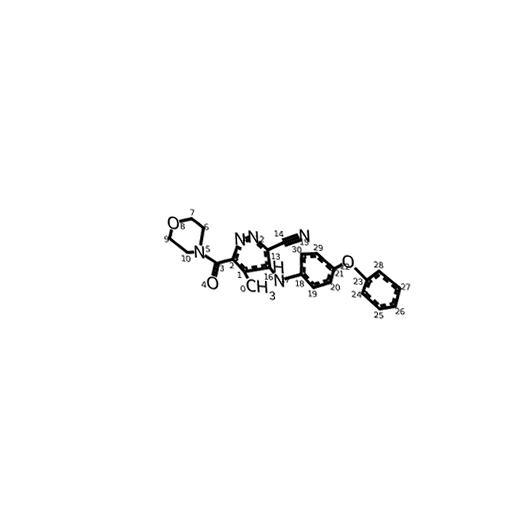 Cc1c(C(=O)N2CCOCC2)nnc(C#N)c1Nc1ccc(Oc2ccccc2)cc1